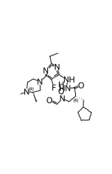 CCc1nc(NNC(=O)[C@H](CC2CCCC2)CN(O)C=O)c(F)c(N2CCN(C)[C@H](C)C2)n1